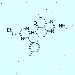 CCOc1cncc(-c2cc(F)ccc2[C@H]2Cc3nc(N)nc(CC)c3C(=O)N2)n1